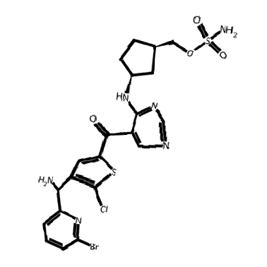 NC(c1cccc(Br)n1)c1cc(C(=O)c2cncnc2N[C@H]2CC[C@@H](COS(N)(=O)=O)C2)sc1Cl